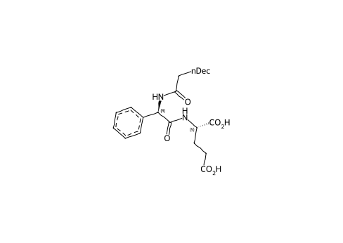 CCCCCCCCCCCC(=O)N[C@@H](C(=O)N[C@@H](CCC(=O)O)C(=O)O)c1ccccc1